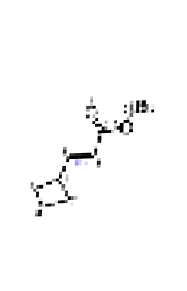 CC(C)(C)OC(=O)/C=C/C1CCC1